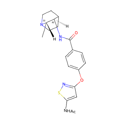 CC(=O)Nc1cc(Oc2ccc(C(=O)N[C@@H]3C4CCN(CC4)[C@H]3C)cc2)ns1